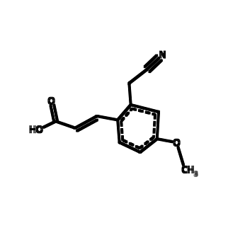 COc1ccc(/C=C/C(=O)O)c(CC#N)c1